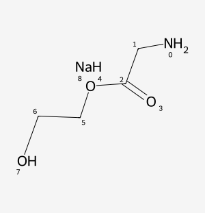 NCC(=O)OCCO.[NaH]